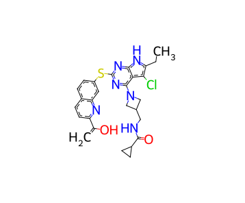 C=C(O)c1ccc2ccc(Sc3nc(N4CC(CNC(=O)C5CC5)C4)c4c(Cl)c(CC)[nH]c4n3)cc2n1